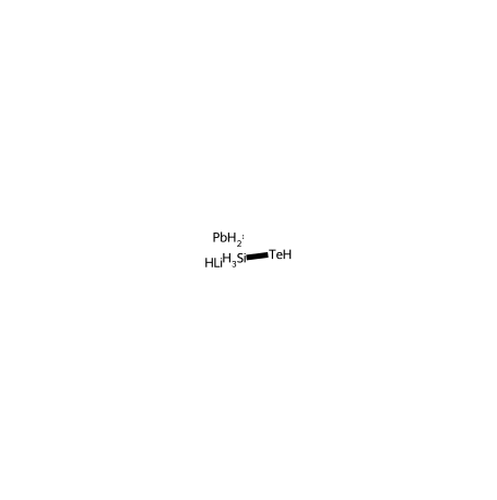 [LiH].[PbH2].[SiH3][TeH]